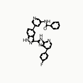 O=C(Nc1cncc(-c2ccc3[nH]nc(-c4nc5c(-c6ccc(F)cc6)ccnc5[nH]4)c3c2)c1)c1ccccc1